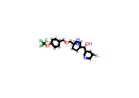 O[C@H](c1cncc(F)c1)C12CCC(COCc3ccc(OC(F)(F)F)cc3)(CC1)N2